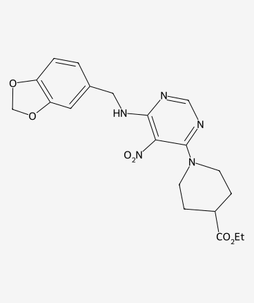 CCOC(=O)C1CCN(c2ncnc(NCc3ccc4c(c3)OCO4)c2[N+](=O)[O-])CC1